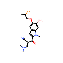 Bc1cc2c(cc1OCC(C)P)cc(C(=O)/C(C#N)=C/N(C)C)n2C